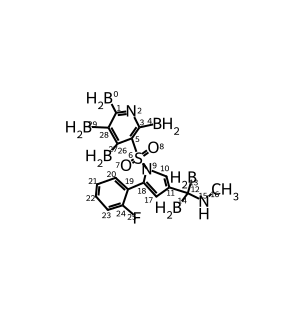 Bc1nc(B)c(S(=O)(=O)n2cc(C(B)(B)NC)cc2-c2ccccc2F)c(B)c1B